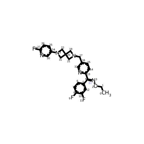 CCO/N=C(\c1ccc(F)c(F)c1)c1ccc(CN2CC3(C2)CN(c2ccc(F)nc2)C3)cn1